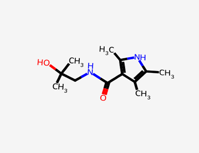 Cc1[nH]c(C)c(C(=O)NCC(C)(C)O)c1C